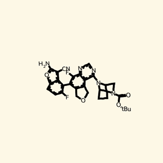 CC(C)(C)OC(=O)N1CC2N(c3ncnc4c(F)c(-c5c(F)ccc6oc(N)c(C#N)c56)c5c(c34)COC5)C3CCC321